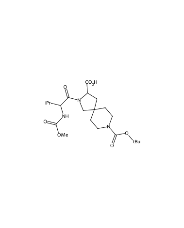 COC(=O)NC(C(=O)N1CC2(CCN(C(=O)OC(C)(C)C)CC2)CC1C(=O)O)C(C)C